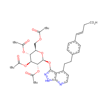 CC(C)(C)C(=O)OC[C@H]1O[C@@H](Oc2n[nH]c3nccc(CCc4ccc(C=CCC(=O)O)cc4)c23)[C@H](OC(=O)C(C)(C)C)[C@@H](OC(=O)C(C)(C)C)[C@@H]1OC(=O)C(C)(C)C